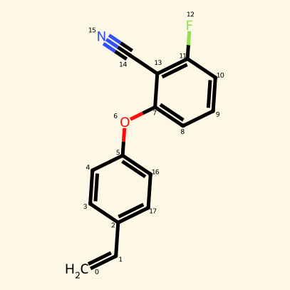 C=Cc1ccc(Oc2cccc(F)c2C#N)cc1